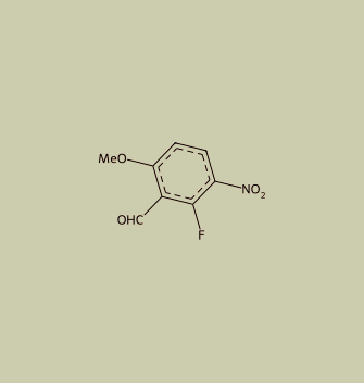 COc1ccc([N+](=O)[O-])c(F)c1C=O